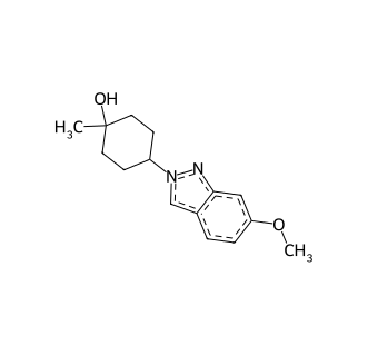 COc1ccc2cn(C3CCC(C)(O)CC3)nc2c1